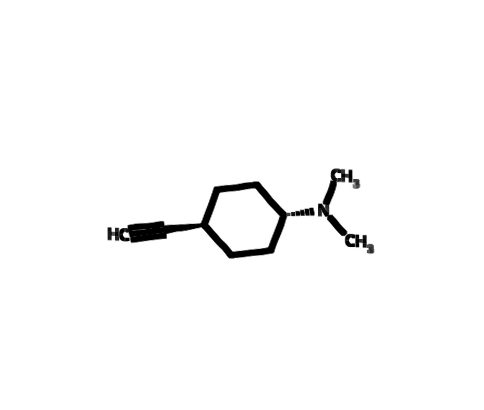 C#C[C@H]1CC[C@H](N(C)C)CC1